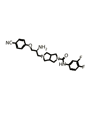 N#Cc1ccc(OC[C@@H](N)CN2CC3CN(C(=O)Nc4ccc(F)c(F)c4)CC3C2)cc1